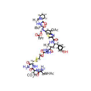 CCCC(=O)OCN(C(=O)[C@@H](NC(=O)[C@H]1CCCCN1C)C(C)CC)[C@H](C[C@@H](OC(C)=O)c1nc(C(=O)N[C@@H](Cc2ccc(O)cc2)C[C@H](C)C(=O)NNC(=O)OCCSSC[C@H](NC(=O)[C@H](CC(=O)O)NC(=O)[C@@H](N)CNC(C)=O)C(N)=O)cs1)C(C)C